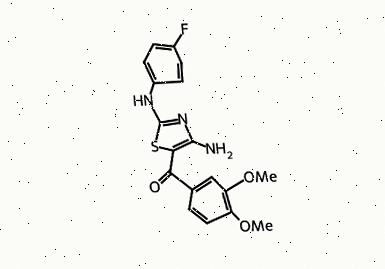 COc1ccc(C(=O)c2sc(Nc3ccc(F)cc3)nc2N)cc1OC